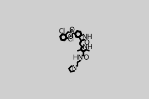 Cc1[nH]c(/C=C2\C(=O)Nc3ccc(S(=O)(=O)Cc4c(Cl)cccc4Cl)cc32)c(C)c1C(=O)NCCCN1CCCC1